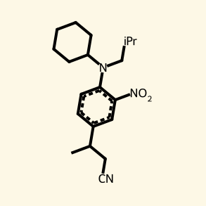 CC(C)CN(c1ccc(C(C)CC#N)cc1[N+](=O)[O-])C1CCCCC1